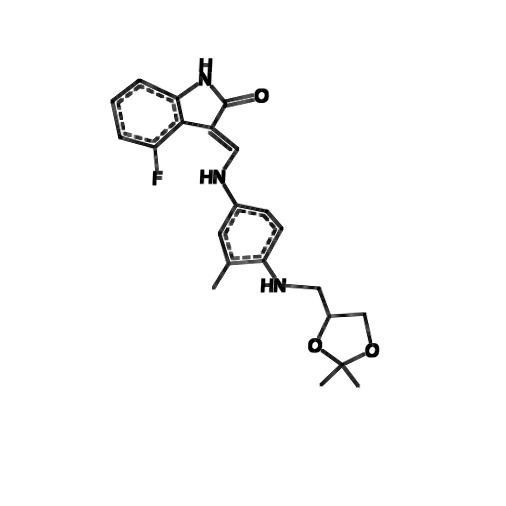 Cc1cc(N/C=C2/C(=O)Nc3cccc(F)c32)ccc1NCC1COC(C)(C)O1